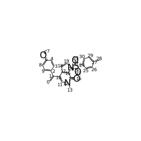 C=C(c1ccc(OC)cc1)c1cn(C)c(=O)c2c1ccn2S(=O)(=O)c1ccc(C)cc1